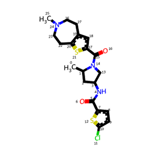 CC1CC(NC(=O)c2ccc(Cl)s2)CN1C(=O)c1cc2c(s1)CCN(C)CC2